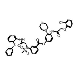 CS(=O)(=O)N(CC(=O)Nc1ccccc1Sc1ccccc1)c1cccc(C(=O)Oc2ccc(NC(=O)COc3ccccc3Cl)c(N3CCOCC3)c2)c1